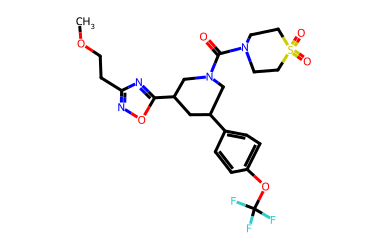 COCCc1noc(C2CC(c3ccc(OC(F)(F)F)cc3)CN(C(=O)N3CCS(=O)(=O)CC3)C2)n1